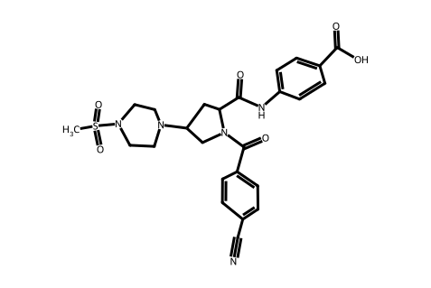 CS(=O)(=O)N1CCN(C2CC(C(=O)Nc3ccc(C(=O)O)cc3)N(C(=O)c3ccc(C#N)cc3)C2)CC1